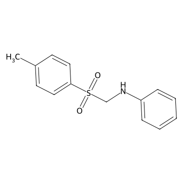 Cc1ccc(S(=O)(=O)CNc2ccccc2)cc1